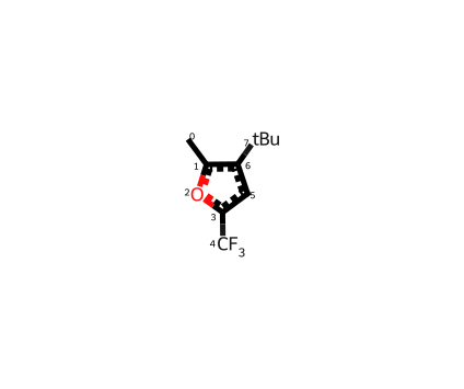 Cc1oc(C(F)(F)F)cc1C(C)(C)C